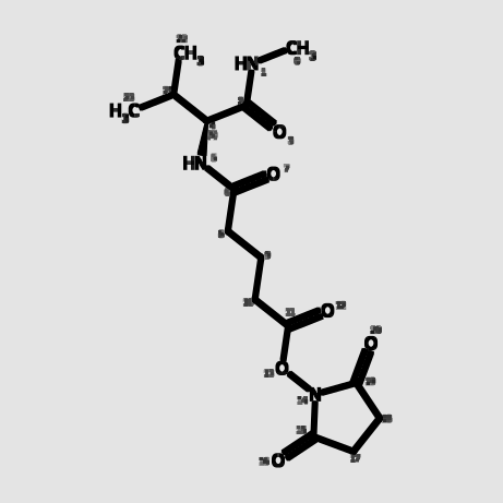 CNC(=O)[C@@H](NC(=O)CCCC(=O)ON1C(=O)CCC1=O)C(C)C